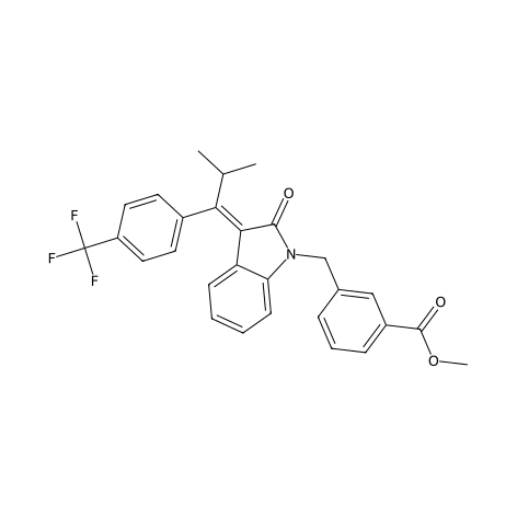 COC(=O)c1cccc(CN2C(=O)/C(=C(/c3ccc(C(F)(F)F)cc3)C(C)C)c3ccccc32)c1